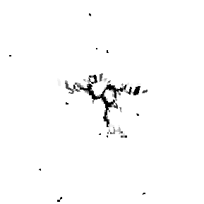 C=Cc1sc(C)cc1C=C(C)C